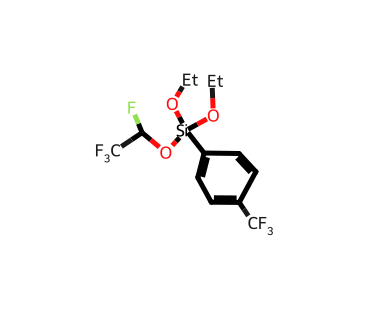 CCO[Si](OCC)(OC(F)C(F)(F)F)c1ccc(C(F)(F)F)cc1